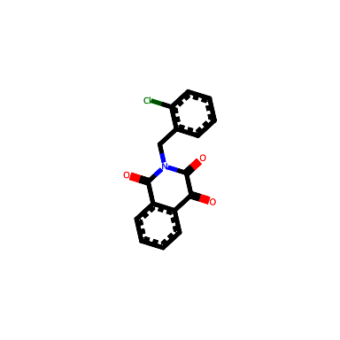 O=C1C(=O)N(Cc2ccccc2Cl)C(=O)c2ccccc21